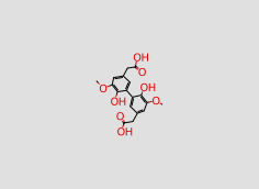 COc1cc(CC(=O)O)cc(-c2cc(CC(=O)O)cc(OC)c2O)c1O